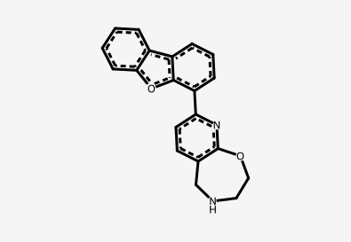 c1ccc2c(c1)oc1c(-c3ccc4c(n3)OCCNC4)cccc12